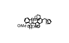 COc1cccc(OC)c1[SH](=O)(C=O)Nc1noc2cc(Cn3cccn3)c3c(c12)OCC3